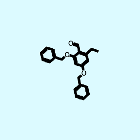 CCc1cc(OCc2ccccc2)cc(OCc2ccccc2)c1C=O